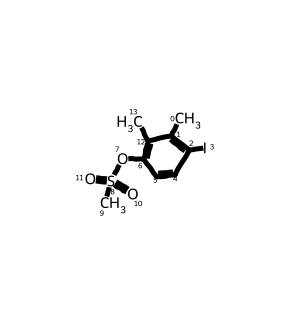 Cc1c(I)ccc(OS(C)(=O)=O)c1C